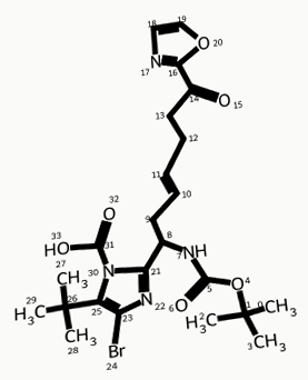 CC(C)(C)OC(=O)NC(CC=CCCC(=O)c1ncco1)c1nc(Br)c(C(C)(C)C)n1C(=O)O